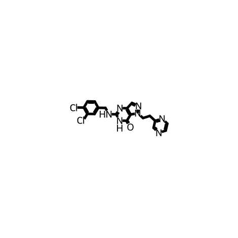 O=c1[nH]c(NCc2ccc(Cl)c(Cl)c2)nc2cnn(CCc3cnccn3)c12